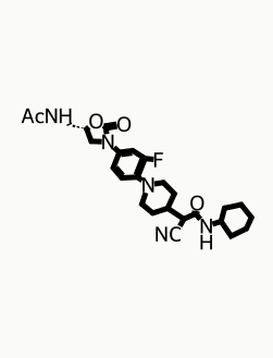 CC(=O)NC[C@H]1CN(c2ccc(N3CCC(C(C#N)C(=O)NC4CCCCC4)CC3)c(F)c2)C(=O)O1